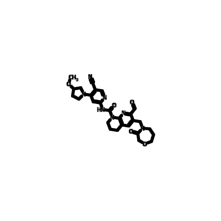 COC1CCN(c2cc(NC(=O)N3CCCc4cc(CN5CCCOCC5=O)c(C=O)nc43)ncc2C#N)C1